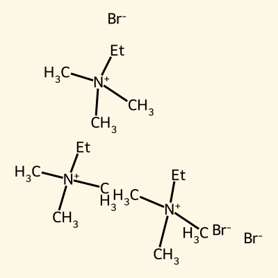 CC[N+](C)(C)C.CC[N+](C)(C)C.CC[N+](C)(C)C.[Br-].[Br-].[Br-]